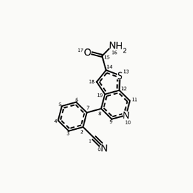 N#Cc1ccccc1-c1cncc2sc(C(N)=O)cc12